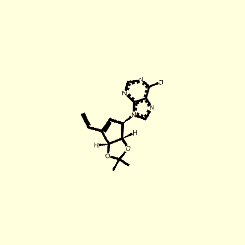 C=CC1=C[C@@H](n2cnc3c(Cl)ncnc32)[C@@H]2OC(C)(C)O[C@H]12